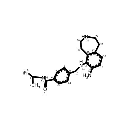 CC(C)C(C)NC(=O)c1ccc(CNc2c(N)ccc3c2CCNCC3)cc1